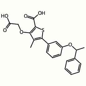 Cc1c(-c2cccc(OC(C)c3ccccc3)c2)sc(C(=O)O)c1OCC(=O)O